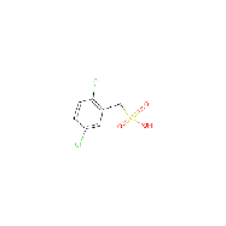 O=S(=O)(O)Cc1cc(Cl)ccc1Cl